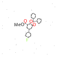 COC(=O)c1cc(-c2ccc(F)cc2)cc2c1OC(c1ccccc1)(c1ccccc1)O2